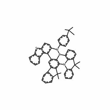 CC(C)(C)c1ccc(N2B3c4cccc5c4N(c4ccccc4C5(C)C)c4c3c(cc3c4C(C)(C)c4ccccc4-3)-c3c2ccc2sc4ccccc4c32)cc1